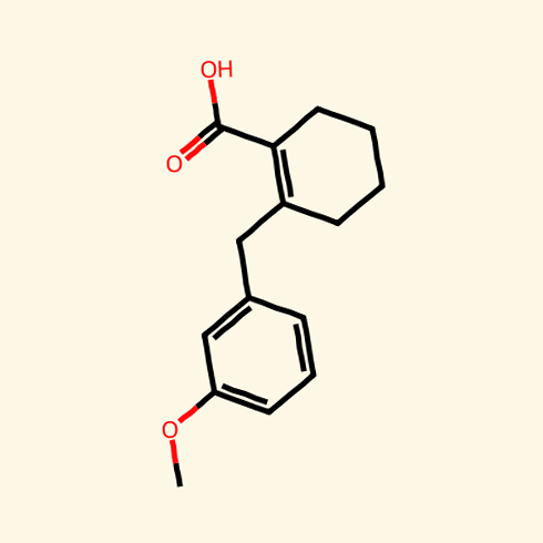 COc1cccc(CC2=C(C(=O)O)CCCC2)c1